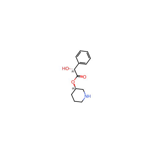 O=C(O[C@@H]1CCCNC1)[C@H](O)c1ccccc1